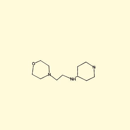 C1CC(NCCN2CCOCC2)CC[N]1